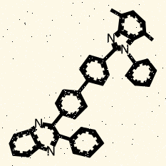 Cc1ccc(C)c2c1nc(-c1ccc(-c3ccc(-c4nc5ccccc5nc4-c4ccccc4)cc3)cc1)n2-c1ccccc1